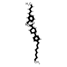 CCCCCCCCCc1ccc(C2CCC(C(=O)Oc3ccc(CCCCC)cc3C#N)CC2)cc1